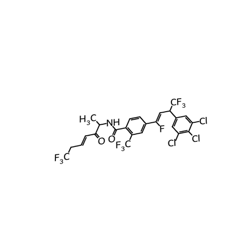 CC(NC(=O)c1ccc(/C(F)=C/C(c2cc(Cl)c(Cl)c(Cl)c2)C(F)(F)F)cc1C(F)(F)F)C(=O)/C=C/CC(F)(F)F